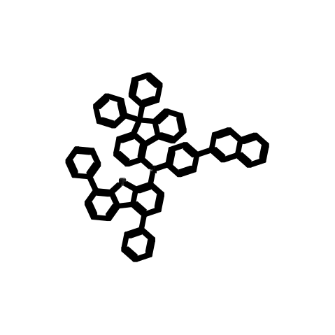 c1ccc(-c2cccc3c2oc2c(N(c4ccc(-c5ccc6ccccc6c5)cc4)c4cccc5c4-c4ccccc4C5(c4ccccc4)c4ccccc4)ccc(-c4ccccc4)c23)cc1